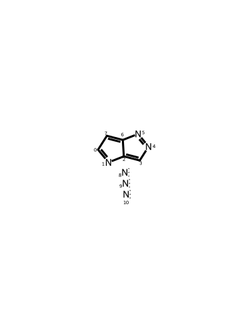 C1=NC2=CN=NC2=C1.[N].[N].[N]